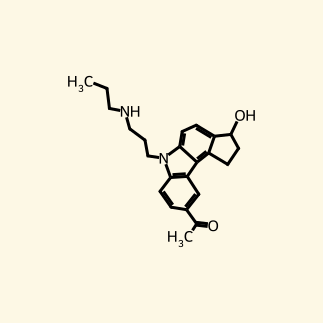 CCCNCCCn1c2ccc(C(C)=O)cc2c2c3c(ccc21)C(O)CC3